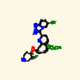 Cl.Cl.F[C@H]1CNCC[C@H]1Oc1cccc2ccc(-c3nnc4ccc(Br)cn34)nc12